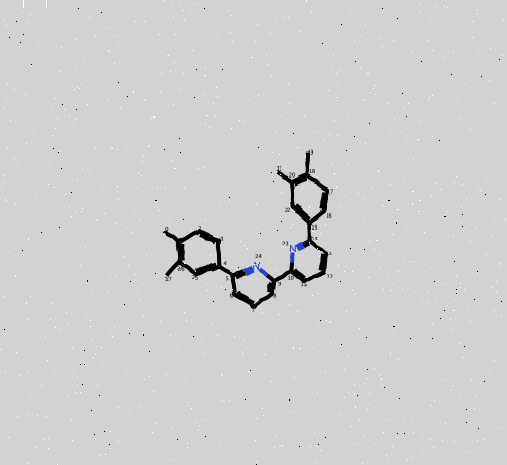 Cc1ccc(-c2cccc(-c3cccc(-c4ccc(C)c(C)c4)n3)n2)cc1C